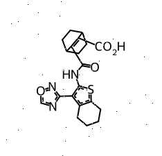 O=C(O)C1=C(C(=O)Nc2sc3c(c2-c2ncon2)CCCC3)C2CCC1CC2